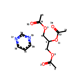 CC(=O)OCC(COC(C)=O)OC(C)=O.c1cncnc1